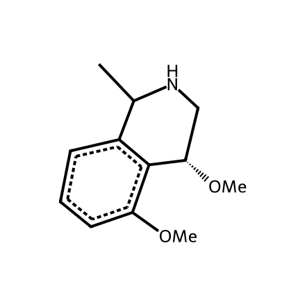 COc1cccc2c1[C@@H](OC)CNC2C